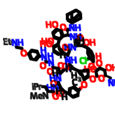 CCNCCOc1ccc(NC(=O)NC(=O)C[C@@H]2NC(=O)[C@H](NC(=O)[C@@H](CC(C)C)NC)[C@H](O)c3ccc(c(C)c3)Oc3cc4cc(c3O[C@@H]3O[C@H](CN)[C@@H](O)[C@H](O)[C@H]3O)Oc3ccc(cc3Cl)[C@@H](O)[C@@H]3NC(=O)[C@H](NC(=O)[C@@H]4NC2=O)c2ccc(O)c(c2)-c2c(O)cc(O)cc2[C@@H](C(=O)NC2C4CC5CC(C4)CC2C5)NC3=O)cc1